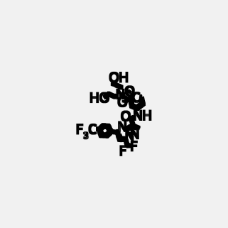 O=C(Nc1cccc(S(=O)(=O)N(CCO)CCO)c1)c1cnn2c(C(F)F)cc(-c3ccc(C(F)(F)F)cc3)nc12